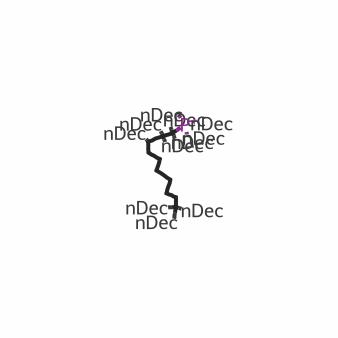 CCCCCCCCCCC(CCCCCCC(CCCCCCCCCC)(CCCCCCCCCC)CCCCCCCCCC)C(CCCCCCCCCC)(CCCCCCCCCC)C(CCCCCCCCCC)(CCCCCCCCCC)[P+](CCCCCCCCCC)(CCCCCCCCCC)CCCCCCCCCC